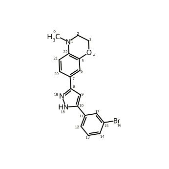 CN1CCOc2cc(-c3cc(-c4cccc(Br)c4)[nH]n3)ccc21